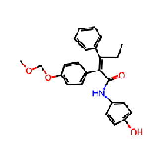 CC/C(=C(\C(=O)Nc1ccc(O)cc1)c1ccc(OCOC)cc1)c1ccccc1